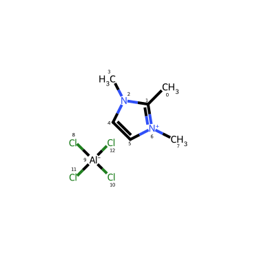 Cc1n(C)cc[n+]1C.[Cl][Al-]([Cl])([Cl])[Cl]